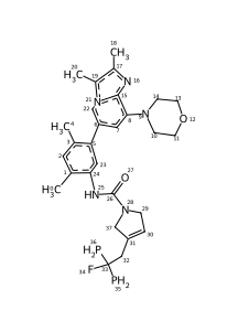 Cc1cc(C)c(-c2cc(N3CCOCC3)c3nc(C)c(C)n3c2)cc1NC(=O)N1CC=C(CC(F)(P)P)C1